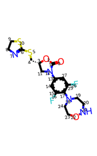 O=C1O[C@@H](CSC2=NCCS2)CN1c1cc(F)c(N2CCNOCC2)c(F)c1